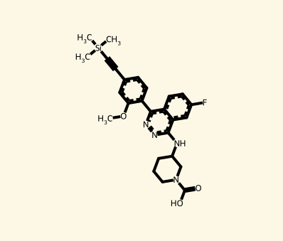 COc1cc(C#C[Si](C)(C)C)ccc1-c1nnc(NC2CCCN(C(=O)O)C2)c2cc(F)ccc12